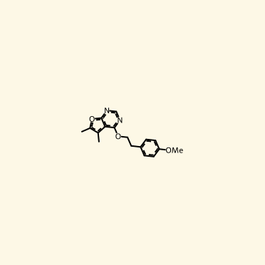 COc1ccc(CCOc2ncnc3oc(C)c(C)c23)cc1